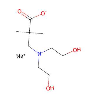 CC(C)(CN(CCO)CCO)C(=O)[O-].[Na+]